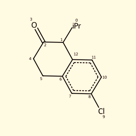 CC(C)C1C(=O)CCc2cc(Cl)ccc21